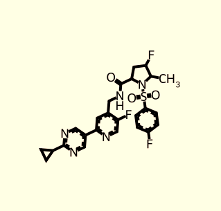 CC1C(F)CC(C(=O)NCc2cc(-c3cnc(C4CC4)nc3)ncc2F)N1S(=O)(=O)c1ccc(F)cc1